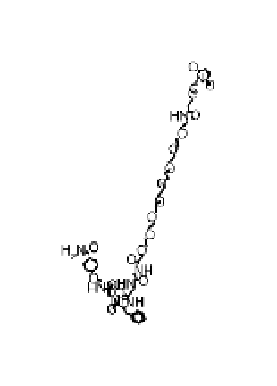 NC(=O)[C@H]1CC[C@@H](OCNC(=O)CNC(=O)[C@H](Cc2ccccc2)NC(=O)CNC(=O)CNC(=O)COCCOCCOCCOCCOCCOCCOCCOCCNC(=O)CCCCCN2C(=O)C=CC2=O)CC1